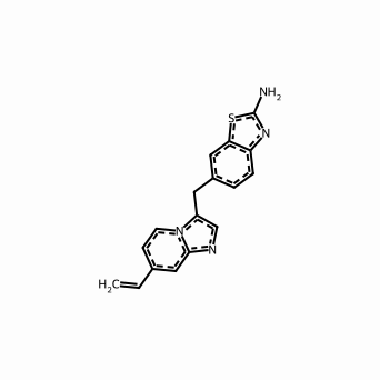 C=Cc1ccn2c(Cc3ccc4nc(N)sc4c3)cnc2c1